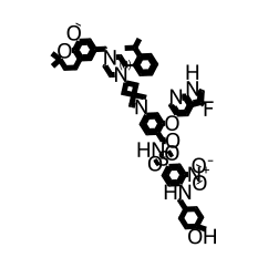 COc1cc(CN2CCN(C3CC4(C3)CN(c3ccc(C(=O)NS(=O)(=O)c5ccc(NCC6CCC(C)(O)CC6)c([N+](=O)[O-])c5)c(Oc5cnc6[nH]cc(F)c6c5)c3)C4)[C@H](c3ccccc3C(C)C)C2)cc2c1OC(C)(C)CC2